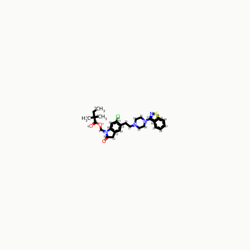 CCC(C)(C)C(=O)OCN1C(=O)Cc2cc(CCN3CCN(c4nsc5ccccc45)CC3)c(Cl)cc21